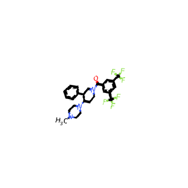 CN1CCN(C2CCN(C(=O)c3cc(C(F)(F)F)cc(C(F)(F)F)c3)CC2c2ccccc2)CC1